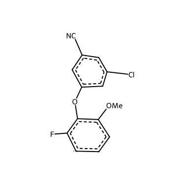 COc1cc[c]c(F)c1Oc1cc(Cl)cc(C#N)c1